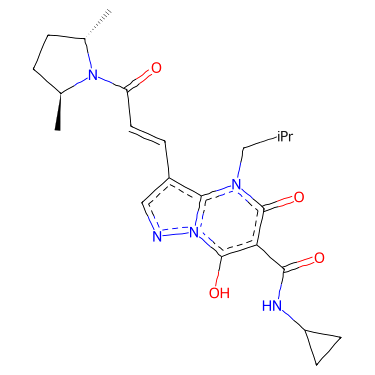 CC(C)Cn1c(=O)c(C(=O)NC2CC2)c(O)n2ncc(/C=C/C(=O)N3[C@@H](C)CC[C@@H]3C)c12